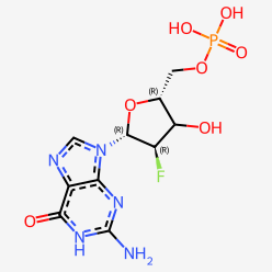 Nc1nc2c(ncn2[C@@H]2O[C@H](COP(=O)(O)O)C(O)[C@H]2F)c(=O)[nH]1